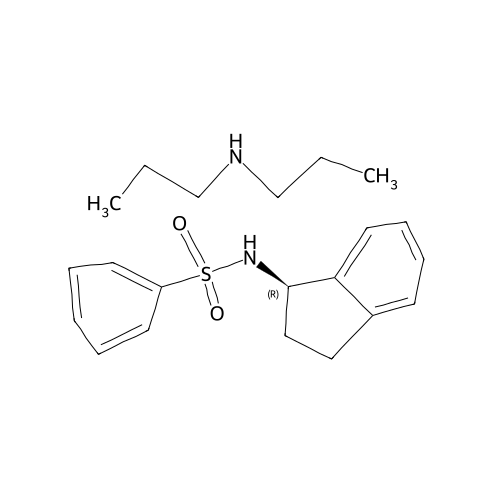 CCCNCCC.O=S(=O)(N[C@@H]1CCc2ccccc21)c1ccccc1